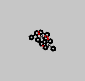 c1ccc(-c2ccccc2-c2ccccc2N(c2ccccc2-c2ccccc2)c2cccc3c2-c2ccccc2C32c3ccccc3N(c3ccccc3)c3ccccc32)cc1